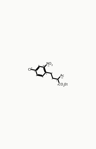 CCOC(=O)C(CCc1ccc(Cl)cc1[N+](=O)[O-])C(C)=O